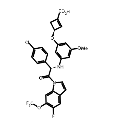 COc1cc(N[C@H](C(=O)n2ccc3cc(F)c(OC(F)(F)F)cc32)c2ccc(Cl)cc2)cc(O[C@@H]2C=C(C(=O)O)C2)c1